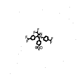 CS(=O)(=O)c1ccc(-c2c(-c3ccc(C(F)F)cc3)c(C(F)F)nn2-c2ccc(C(F)F)cc2)cc1